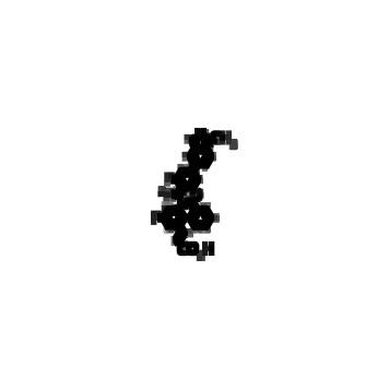 [2H]C(c1ccc(-c2ccc3c(cnn3C)c2)cc1F)N(C(=O)c1ccccc1)c1cc(F)cc(/C=C/C(=O)O)c1